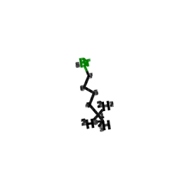 [2H]C([2H])([2H])CCCCBr